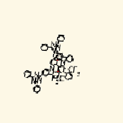 N#Cc1ccc(-n2c3ccccc3c3cc(-c4nc(-c5ccccc5)nc(-c5ccccc5)n4)ccc32)c(-c2ccc(-c3c(C(F)(F)F)cccc3C(F)(F)F)cc2-n2c3ccccc3c3cc(-c4nc(-c5ccccc5)nc(-c5ccccc5)n4)ccc32)c1